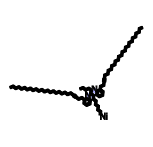 CCCCCCCCCCCCCCCCCCCCCCC#CCCc1ccccc1/N=C(CCCC)\C(CCCCCCCC)=N\c1ccccc1CCC#CCCCCCCCCCCCCCCCCCCCCCC.[Ni]